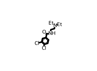 CCN(CC)CCNC(=O)c1ccc(Cl)c(Cl)c1